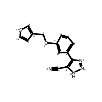 N#Cc1[nH]nnc1-c1cccc(OCc2ccsc2)c1